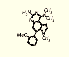 COc1ccccc1-c1cc2nc(N)nc(N(C)C)c2c2ccn(C)c12